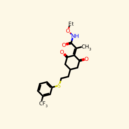 CCONC(=O)C(C)=C1C(=O)CC(CCSc2cccc(C(F)(F)F)c2)CC1=O